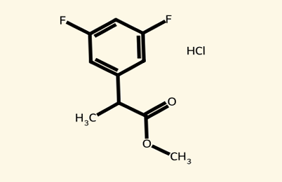 COC(=O)C(C)c1cc(F)cc(F)c1.Cl